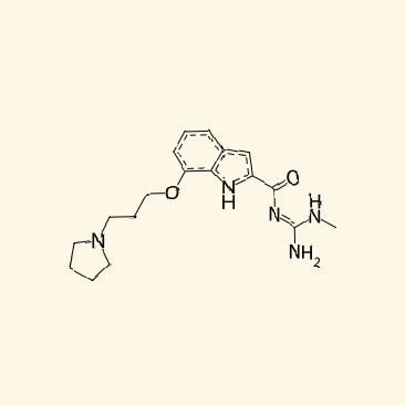 CNC(N)=NC(=O)c1cc2cccc(OCCCN3CCCC3)c2[nH]1